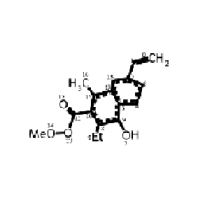 C=Cc1ccc2c(O)c(CC)c(C(=O)OOC)c(C)c2c1